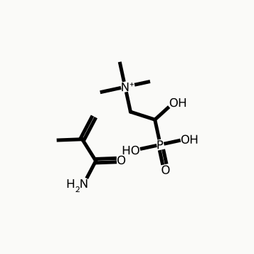 C=C(C)C(N)=O.C[N+](C)(C)CC(O)P(=O)(O)O